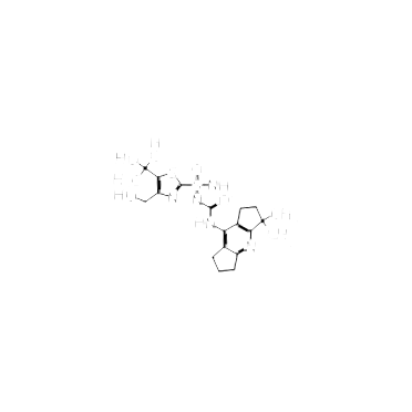 CC(C)(O)c1sc(S(N)(=O)=NC(=O)Nc2c3c(nc4c2CCC4(C)C)CCC3)nc1CO